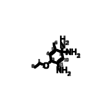 CCOC1C=C(C)C(N)(N)C=C1N